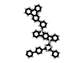 c1ccc(-c2ccc(-c3nc(-c4ccccc4)nc(-n4c5ccccc5c5cc6c(cc54)c4ccccc4n6-c4cccc(-c5ccc6c7ccccc7c7ccccc7c6c5)c4)n3)cc2)cc1